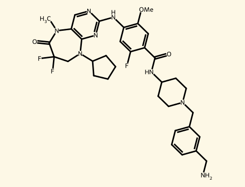 COc1cc(C(=O)NC2CCN(Cc3cccc(CN)c3)CC2)c(F)cc1Nc1ncc2c(n1)N(C1CCCC1)CC(F)(F)C(=O)N2C